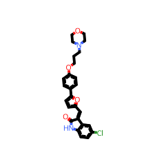 O=C1Nc2ccc(Cl)cc2C1=Cc1ccc(-c2ccc(OCCCN3CCOCC3)cc2)o1